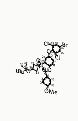 COc1ccc(COc2ccc(Oc3c(Cl)cc(Br)cc3Cl)cc2S(=O)(=O)N2CC(O[Si](C)(C)C(C)(C)C)C2)cc1